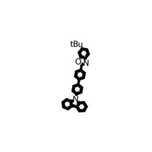 CC(C)(C)c1ccc2nc(-c3ccc(-c4ccc(-n5c6ccccc6c6ccccc65)cc4)cc3)oc2c1